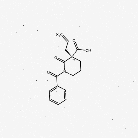 C=CC[C@@]1(C(=O)O)CCCN(C(=O)c2ccccc2)C1=O